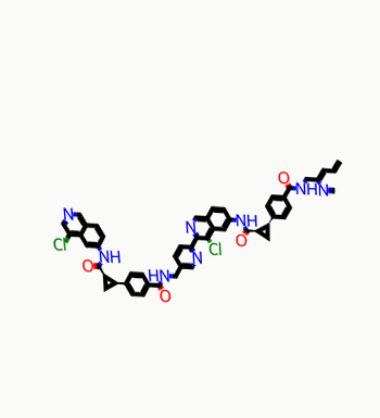 C=C/C=C(/CNC(=O)c1ccc([C@@H]2C[C@H]2C(=O)Nc2ccc3cnc(-c4ccc(CNC(=O)c5ccc([C@H]6C[C@H]6C(=O)Nc6ccc7cncc(Cl)c7c6)cc5)cn4)c(Cl)c3c2)cc1)N=C